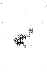 COCC(OC(N)=O)C(=O)Nc1nc(-c2cccc(-c3ccn(C)n3)c2)cs1